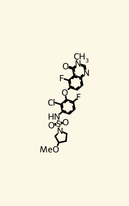 COC1CCN(S(=O)(=O)Nc2ccc(F)c(Oc3ccc4ncn(C)c(=O)c4c3F)c2Cl)C1